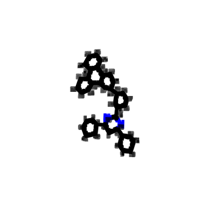 c1ccc(-c2cc(-c3ccccc3)nc(-c3cccc(-c4ccc5c6ccccc6c6ccccc6c5c4)c3)n2)cc1